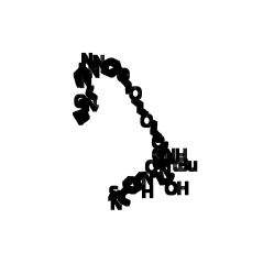 Cc1ncsc1-c1ccc(CNC(=O)[C@@H]2C[C@@H](O)CN2C(=O)[C@@H](NC(=O)COCCCOCCCCOCCCOc2ccc(Nc3ncc4c(n3)N(CCCN(C)C(=O)C3CCC3)CC4)cc2)C(C)(C)C)cc1